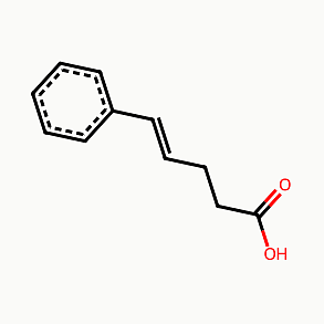 O=C(O)CC/C=C/c1ccccc1